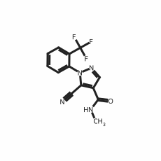 CNC(=O)c1cnn(-c2ccccc2C(F)(F)F)c1C#N